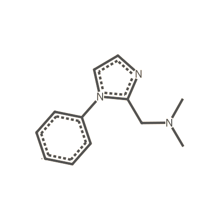 CN(C)Cc1nccn1-c1cc[c]cc1